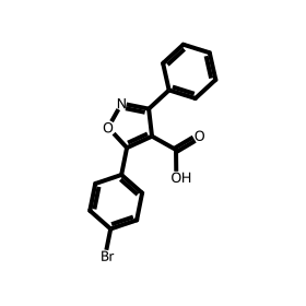 O=C(O)c1c(-c2ccccc2)noc1-c1ccc(Br)cc1